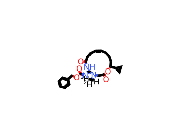 [2H]C([2H])([2H])N1CC(=O)OC(C2CC2)CCCC=CCCC(=O)NC1=NC(=O)OCc1ccccc1